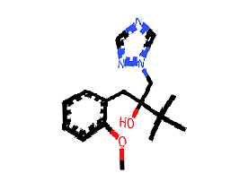 COc1ccccc1CC(O)(Cn1cncn1)C(C)(C)C